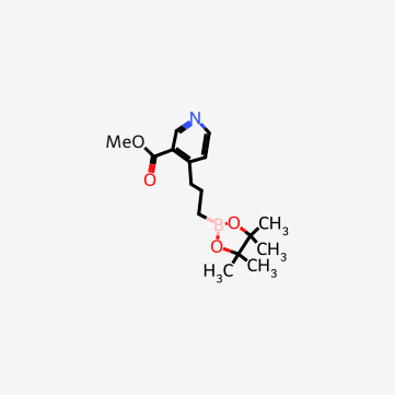 COC(=O)c1cnccc1CCCB1OC(C)(C)C(C)(C)O1